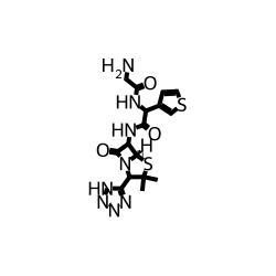 CC1(C)S[C@H]2C(NC(=O)C(NC(=O)CN)c3ccsc3)C(=O)N2C1c1nnn[nH]1